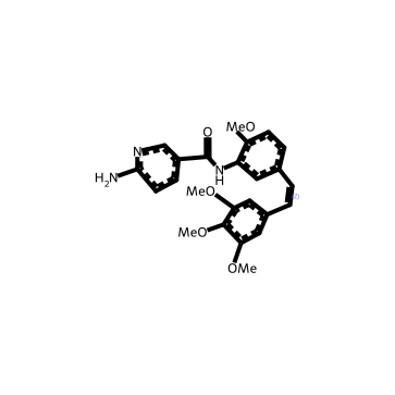 COc1ccc(/C=C\c2cc(OC)c(OC)c(OC)c2)cc1NC(=O)c1ccc(N)nc1